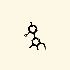 Cc1nc(-c2ccc(Cl)cc2Cl)nc(CI)c1C